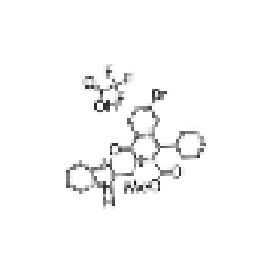 COC(=O)c1c(-c2ccccc2)c2cc(Br)ccc2c(=O)n1Cc1nc2ccccc2[nH]1.O=C(O)C(F)(F)F